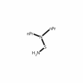 CCCN(CCC)SN